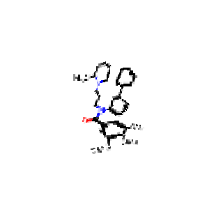 COc1cc(C(=O)N(CCCN2CCCCC2C)c2cccc(-c3ccccc3)c2)cc(OC)c1OC